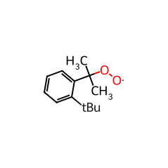 CC(C)(C)c1ccccc1C(C)(C)O[O]